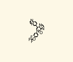 O=c1c2nccnc2c(-c2ccc3nccn3c2)cn1-c1ccc(OC(F)(F)F)cc1